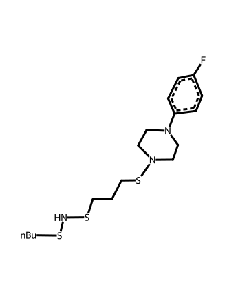 CCCCSNSCCCSN1CCN(c2ccc(F)cc2)CC1